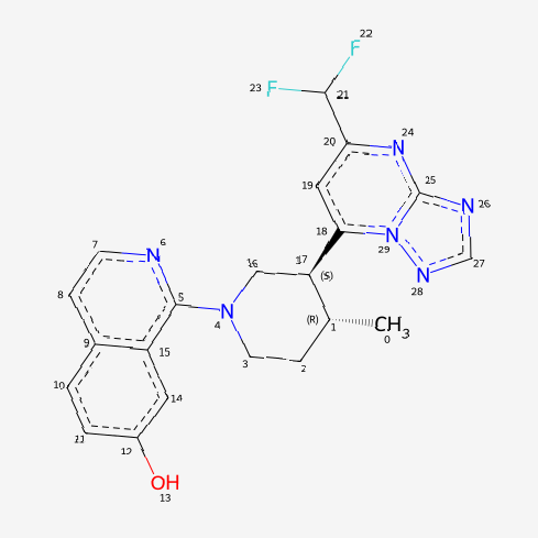 C[C@@H]1CCN(c2nccc3ccc(O)cc23)C[C@H]1c1cc(C(F)F)nc2ncnn12